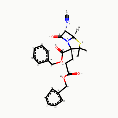 [C-]#[N+][C@H]1C(=O)N2[C@@H]1SC(C)(C)[C@]2(CCC(=O)OCc1ccccc1)C(=O)OCc1ccccc1